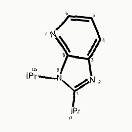 CC(C)c1nc2cccnc2n1C(C)C